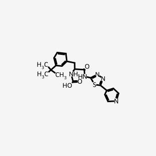 CC(C)(C)c1cccc(CC(NC(=O)O)C(=O)Nc2nnc(-c3ccncc3)s2)c1